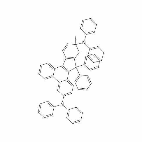 CC1(N(C2=CCCC=C2)c2ccccc2)C=CC2=C(C1)C(c1ccccc1)(c1ccccc1)c1c2c2ccccc2c2cc(N(c3ccccc3)c3ccccc3)ccc12